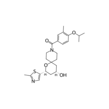 Cc1ncc([C@H]2C[C@@H](O)CC3(CCN(C(=O)c4ccc(OC(C)C)c(C)c4)CC3)O2)s1